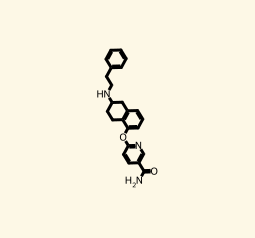 NC(=O)c1ccc(Oc2cccc3c2CCC(NCCc2ccccc2)C3)nc1